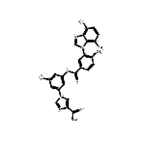 CNC(=O)c1cn(-c2cc(NC(=O)c3ccc(C)c(-n4cnc5c(C)ccc(C)c54)c3)cc(C(F)(F)F)c2)cn1